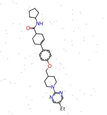 CCc1cnc(N2CCC(COc3ccc(C4=CCC(C(=O)NC5CCCC5)CC4)cc3)CC2)nc1